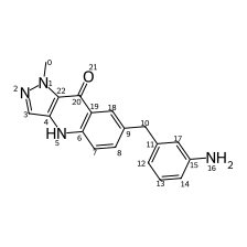 Cn1ncc2[nH]c3ccc(Cc4cccc(N)c4)cc3c(=O)c21